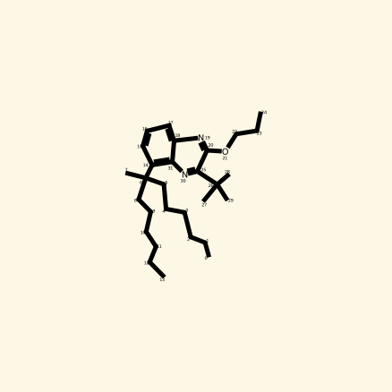 CCCCCCC(C)(CCCCCC)c1cccc2nc(OCCC)c(C(C)(C)C)nc12